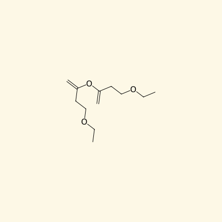 C=C(CCOCC)OC(=C)CCOCC